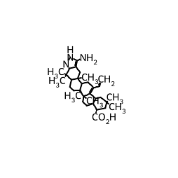 C=CC1=C2C3CC(C)(C)C[C@@H](C(=O)O)C3CCC2(C)C2(C)CCC3C(C)(C)c4n[nH]c(N)c4CC3(C)C2C1